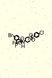 O=S(=O)(NC1CCN(S(=O)(=O)c2ccc(Cl)cc2)CC1)c1ccc(Br)cc1C(F)(F)F